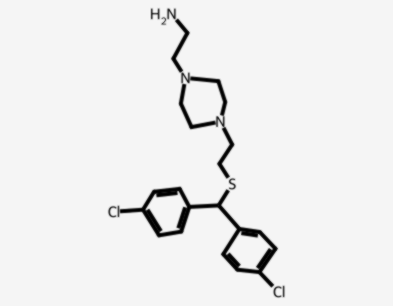 NCCN1CCN(CCSC(c2ccc(Cl)cc2)c2ccc(Cl)cc2)CC1